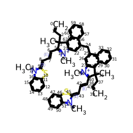 C=CCC1(C)C(/C=C/C=C2\Sc3ccccc3N2C)=[N+](C)c2cc(Cc3cc4c(c5ccccc35)C(C)(CC=C)C(/C=C/C=C3\Sc5ccccc5N3C)=[N+]4C)c3ccccc3c21